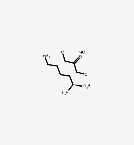 Cl.NCCCC[C@H](N)C(=O)O.O=C(CCl)CCl